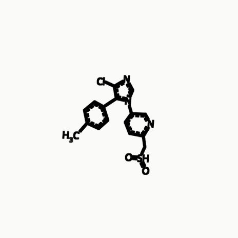 Cc1ccc(-c2c(Cl)ncn2-c2ccc(C[SH](=O)=O)nc2)cc1